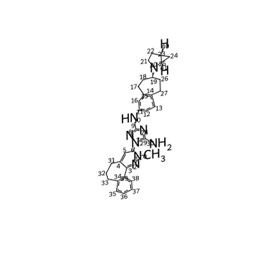 CN1N=C2C(=CC1n1nc(Nc3ccc4c(c3)CC[C@@H](N3CC[C@@H]5C[C@@H]53)CC4)nc1N)CCCc1ccccc12